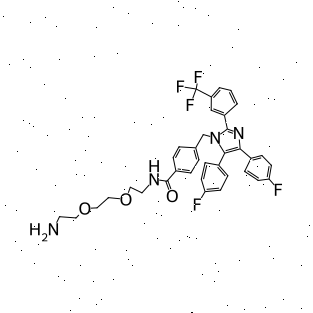 NCCOCCOCCNC(=O)c1ccc(Cn2c(-c3cccc(C(F)(F)F)c3)nc(-c3ccc(F)cc3)c2-c2ccc(F)cc2)cc1